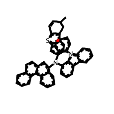 CC1C=Cc2sc3cc(N(c4cc5ccc6ccccc6c5c5ccccc45)c4cccc5c6ccccc6n(-c6ccccc6)c45)ccc3c2C1